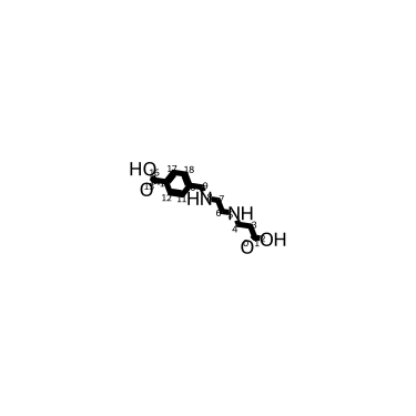 O=C(O)CCNCCNCc1ccc(C(=O)O)cc1